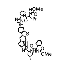 COC(=O)NC(C(=O)N1CC(C)CC1c1nc2ccc3cc4c(cc3c2[nH]1)OCc1cc(-c2cnc(C3CCCN3C(=O)C(NC(=O)OC)C(C)C)[nH]2)ccc1-4)c1ccccc1